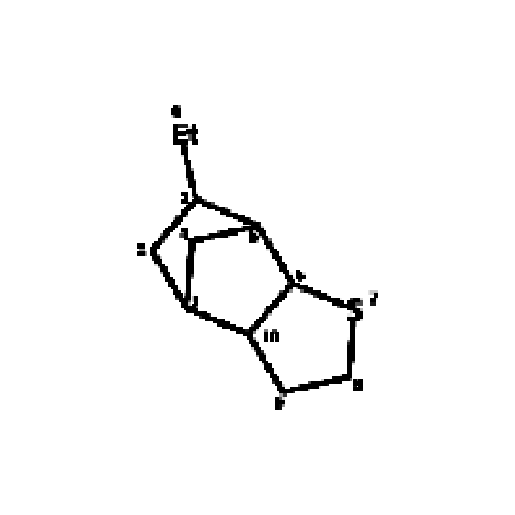 CCC1CC2CC1C1SCCC21